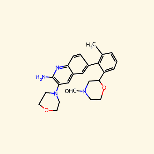 Cc1cccc(C2CN(C=O)CCO2)c1-c1ccc2nc(N)c(N3CCOCC3)cc2c1